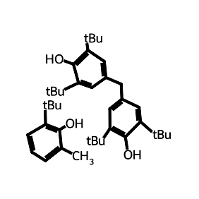 CC(C)(C)c1cc(Cc2cc(C(C)(C)C)c(O)c(C(C)(C)C)c2)cc(C(C)(C)C)c1O.Cc1cccc(C(C)(C)C)c1O